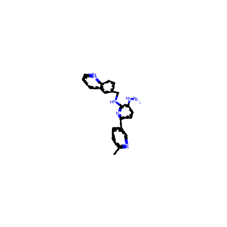 Cc1ccc(-c2ccc(NN)c(NCc3ccc4ncccc4c3)n2)cn1